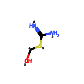 N=C(N)SCO